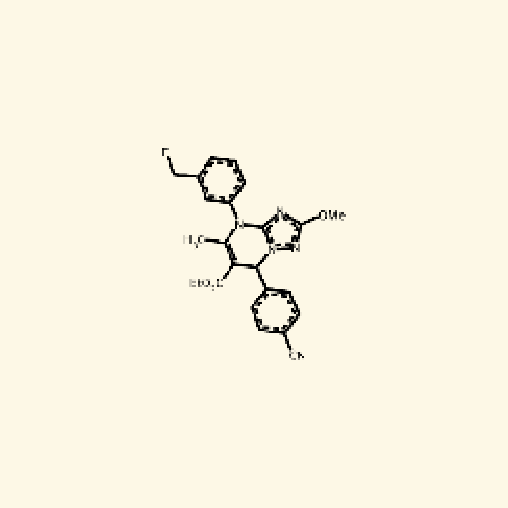 CCOC(=O)C1=C(C)N(c2cccc(CF)c2)c2nc(OC)nn2C1c1ccc(C#N)cc1